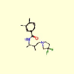 Cc1ccc(C(=O)NC(C)C(C)CN2CCC(F)(F)C2)cc1C